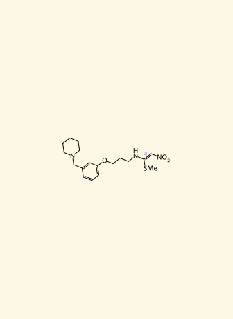 CS/C(=C\[N+](=O)[O-])NCCCOc1cccc(CN2CCCCC2)c1